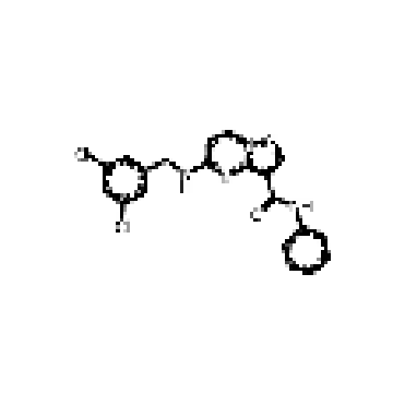 O=C(Nc1ccccc1)c1cnn2ccc(NCc3cc(Cl)cc(Cl)c3)nc12